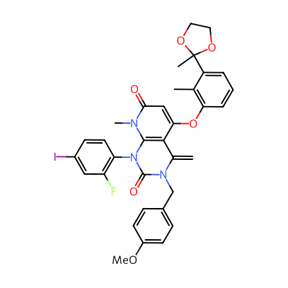 C=C1c2c(Oc3cccc(C4(C)OCCO4)c3C)cc(=O)n(C)c2N(c2ccc(I)cc2F)C(=O)N1Cc1ccc(OC)cc1